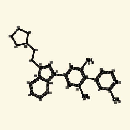 Cc1cc(-c2c(N)nc(-n3nc(CCC4CCCC4)c4ccccc43)nc2N)ccn1